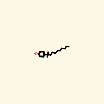 CCCCCCCCCC(C)(C)c1ccc([O])cc1